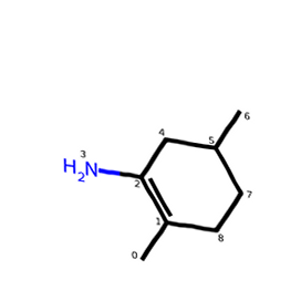 CC1=C(N)CC(C)CC1